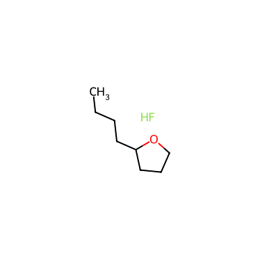 CCCCC1CCCO1.F